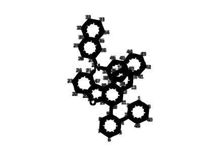 c1ccc(-c2ccccc2-c2cc3ccccc3c3c2oc2cccc(N(c4ccc5ccccc5c4)c4ccc5ccccc5c4)c23)cc1